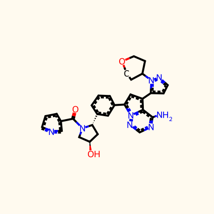 Nc1ncnn2c(-c3cccc([C@@H]4C[C@@H](O)CN4C(=O)c4cccnc4)c3)cc(-c3ccnn3C3CCOCC3)c12